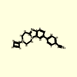 N#Cc1ccc(-c2ccc3nc4n(c3c2)CCN(C2=CC=C2)CC4)cc1